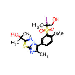 COc1ccc(-c2c(C)nc3sc(C(C)(C)O)nn23)cc1S(=O)(=O)C(C)(I)CO